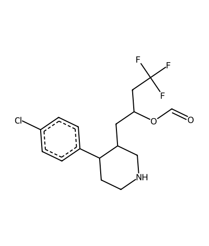 O=COC(CC1CNCCC1c1ccc(Cl)cc1)CC(F)(F)F